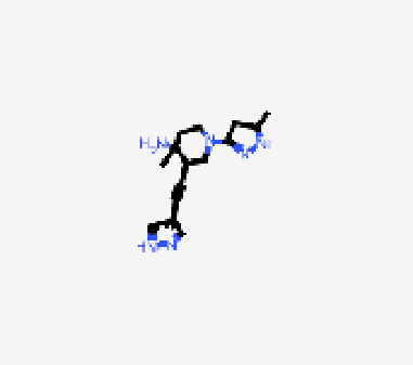 CC1CC(N2CCC(C)(N)C(C#Cc3cn[nH]c3)C2)=NN1